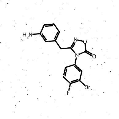 Nc1cccc(Cc2noc(=O)n2-c2ccc(F)c(Br)c2)c1